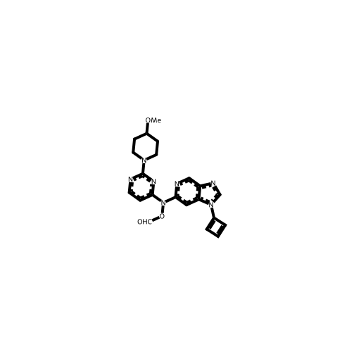 COC1CCN(c2nccc(N(OC=O)c3cc4c(cn3)ncn4C3=CC=C3)n2)CC1